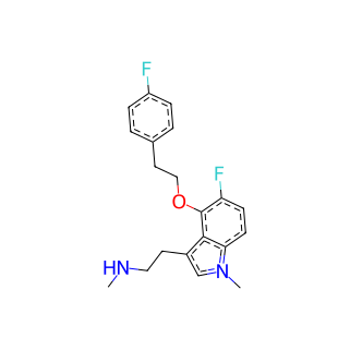 CNCCc1cn(C)c2ccc(F)c(OCCc3ccc(F)cc3)c12